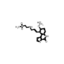 COc1ccc2[nH]c(=O)c3sccc3c2c1/C=C/CNCCS(C)(=O)=O.Cl